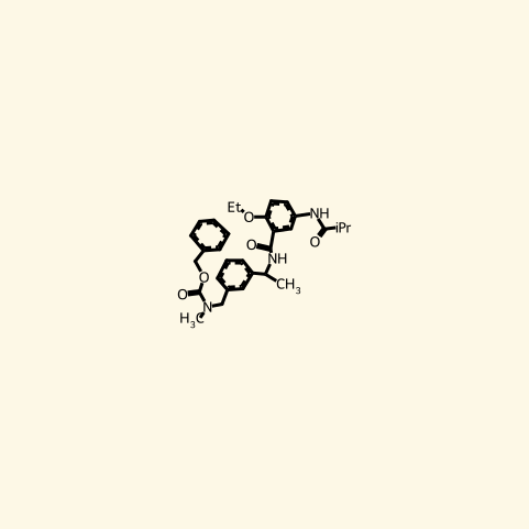 CCOc1ccc(NC(=O)C(C)C)cc1C(=O)NC(C)c1cccc(CN(C)C(=O)OCc2ccccc2)c1